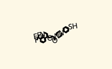 O=C(COc1ccnc2c(C(F)(F)F)cccc12)N1CCN(c2ccc(S)cc2)CC1